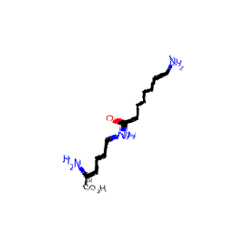 NCCCCCCCC(=O)NCCCC[C@H](N)C(=O)O